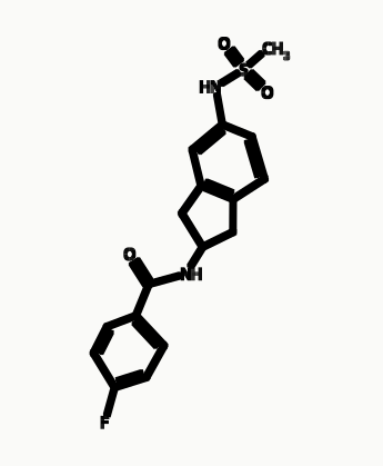 CS(=O)(=O)Nc1ccc2c(c1)CC(NC(=O)c1ccc(F)cc1)C2